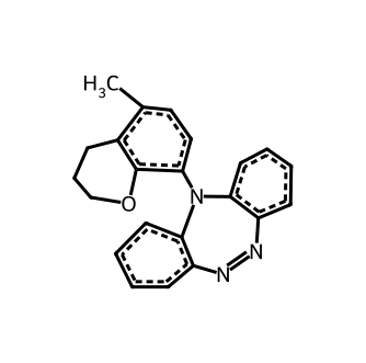 Cc1ccc(N2c3ccccc3N=Nc3ccccc32)c2c1CCCO2